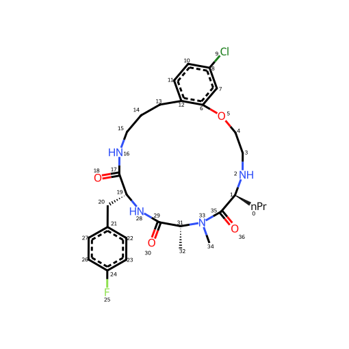 CCC[C@@H]1NCCOc2cc(Cl)ccc2CCCNC(=O)[C@@H](Cc2ccc(F)cc2)NC(=O)[C@@H](C)N(C)C1=O